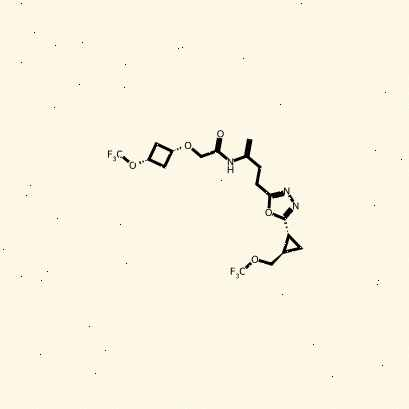 C=C(CCc1nnc([C@@H]2C[C@H]2COC(F)(F)F)o1)NC(=O)CO[C@H]1C[C@@H](OC(F)(F)F)C1